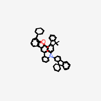 CC1(C)c2ccccc2-c2ccc(N(c3ccc4c(c3)C3(CCCCC3)c3ccccc3-4)c3ccccc3-c3ccc4oc5c(C6CCCCC6)cccc5c4c3)cc21